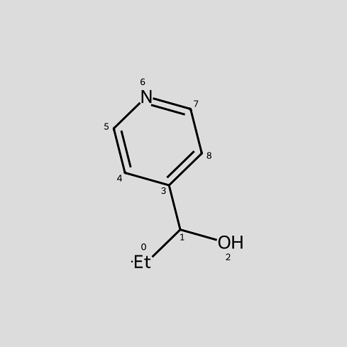 C[CH]C(O)c1ccncc1